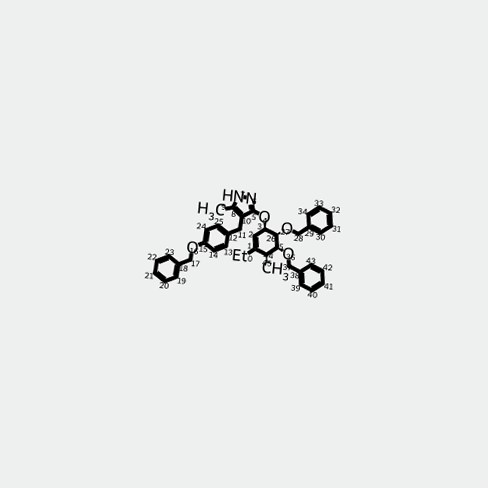 CCC1=C[C@@H](Oc2n[nH]c(C)c2Cc2ccc(OCc3ccccc3)cc2)[C@H](OCc2ccccc2)[C@@H](OCc2ccccc2)[C@@H]1C